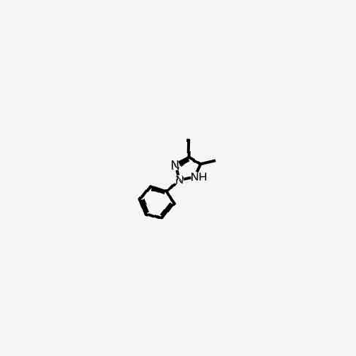 CC1=NN(c2ccccc2)NC1C